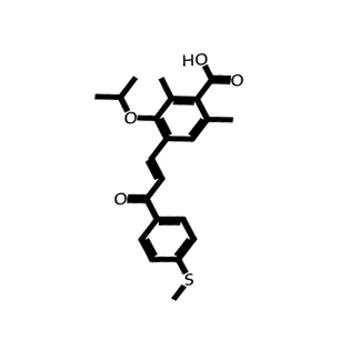 CSc1ccc(C(=O)/C=C/c2cc(C)c(C(=O)O)c(C)c2OC(C)C)cc1